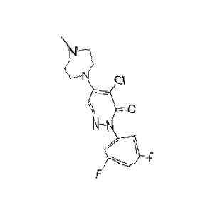 CN1CCN(c2cnn(-c3cc(F)cc(F)c3)c(=O)c2Cl)CC1